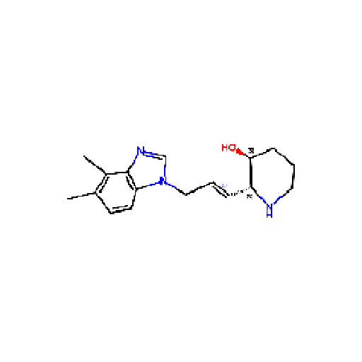 Cc1ccc2c(ncn2C/C=C/[C@H]2NCCC[C@@H]2O)c1C